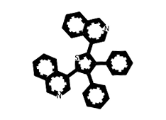 c1ccc(-c2c(-c3cncc4ccccc34)sc(-c3cncc4ccccc34)c2-c2ccccc2)cc1